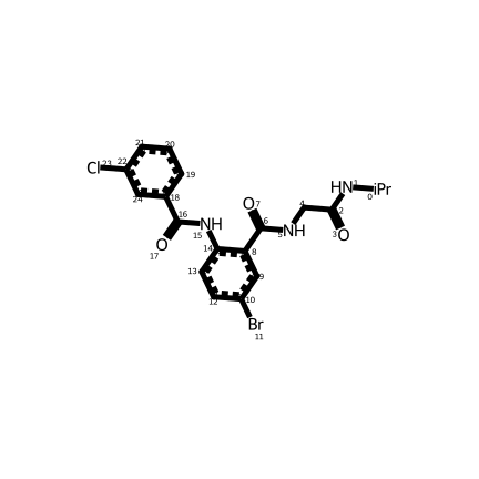 CC(C)NC(=O)CNC(=O)c1cc(Br)ccc1NC(=O)c1cccc(Cl)c1